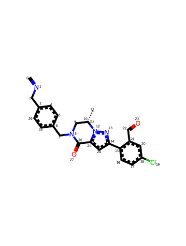 C=NCc1ccc(CN2C[C@H](C)n3nc(-c4ccc(Cl)cc4C=O)cc3C2=O)cc1